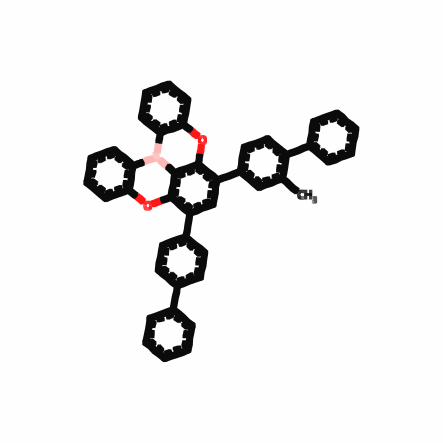 Cc1cc(-c2cc(-c3ccc(-c4ccccc4)cc3)c3c4c2Oc2ccccc2B4c2ccccc2O3)ccc1-c1ccccc1